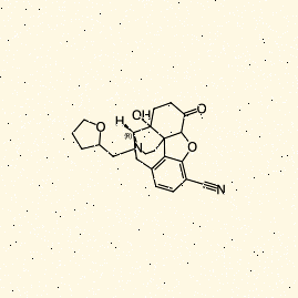 N#Cc1ccc2c3c1OC1C(=O)CCC4(O)[C@@H](C2)N(CC2CCCO2)CCC314